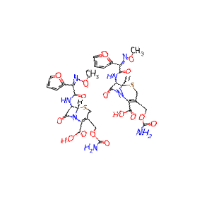 CO/N=C(\C(=O)N[C@@H]1C(=O)N2C(C(=O)O)=C(COC(N)=O)CS[C@@H]12)c1ccco1.CO/N=C(\C(=O)N[C@@H]1C(=O)N2C(C(=O)O)=C(COC(N)=O)CS[C@@H]12)c1ccco1